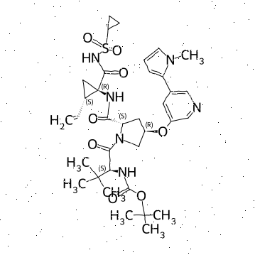 C=C[C@@H]1C[C@]1(NC(=O)[C@@H]1C[C@@H](Oc2cncc(-c3cccn3C)c2)CN1C(=O)[C@@H](NC(=O)OC(C)(C)C)C(C)(C)C)C(=O)NS(=O)(=O)C1CC1